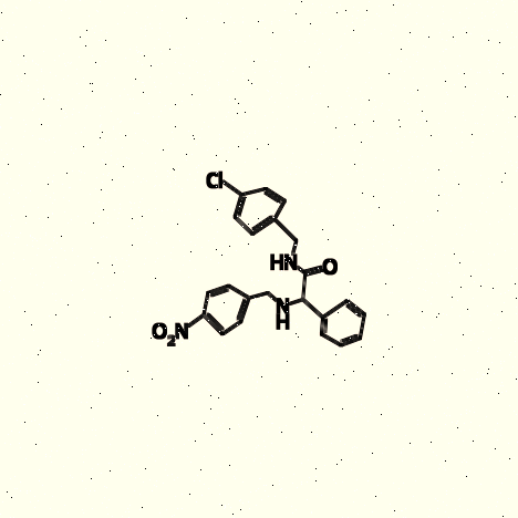 O=C(NCc1ccc(Cl)cc1)C(NCc1ccc([N+](=O)[O-])cc1)c1ccccc1